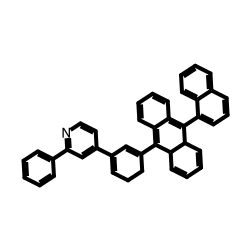 C1=CC2C(C3=CC(c4ccnc(-c5ccccc5)c4)=CCC3)=c3ccccc3=C(c3cccc4ccccc34)C2C=C1